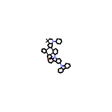 CC1(C)C=CN(c2ccccc2)c2cc3c(cc21)-c1ccccc1-c1ccccc1-c1c-3cccc1-n1c2ccccc2c2cc(-n3c4ccccc4c4ccccc43)ccc21